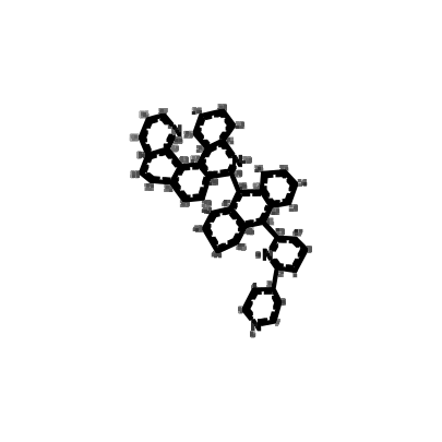 c1cc(-c2ccncc2)nc(-c2c3ccccc3c(-c3nc4ccccc4c4c3ccc3ccc5cccnc5c34)c3ccccc23)c1